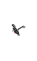 C=CC12CCc3cc(OC)ccc3[C@H]1[C@@H](CCCCCCBr)C[C@]1(C)[C@@H](O[Si](C)(C)C(C)(C)C)CC[C@@H]21